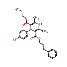 CC1=C(C(=O)OC/C=C/c2ccccc2)C(c2ccc(Cl)cc2)C(C(=O)OCCC#N)=C(C)N1